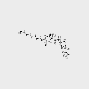 Br.CCCCCCCCCCCCCCCCOc1ccc(CC(=O)Nc2ccc(CN3C=CSC3)cc2)cc1Cl